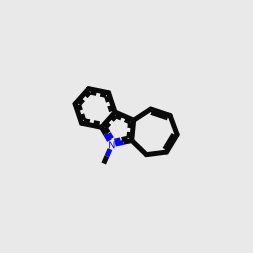 Cn1c2c(c3ccccc31)C=CC=CC2